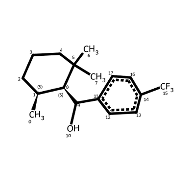 C[C@H]1CCCC(C)(C)[C@H]1C(O)c1ccc(C(F)(F)F)cc1